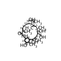 CO[C@H]1/C(C)=C/[C@H](C)[C@@H](O)[C@@H](CO)C[C@H](C)[C@@H](O)c2cc(cc(O)c2C)NC(=O)/C(C)=C/CC[C@@H]1CO